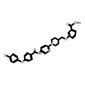 COC(=O)c1cccc(OCC2CCN(c3ccc(NC(=O)c4ccc(Oc5ccc(Cl)cc5)cc4)cn3)CC2)c1